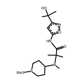 CSN1CCC(N(C)C(C)(C)C(=O)Nc2cc(C(C)(C)O)no2)CC1